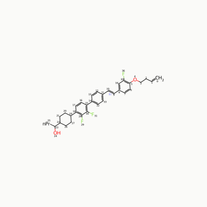 C=CCCOc1ccc(/C=C/c2ccc(-c3ccc(C4CCC(C(O)CCC)CC4)c(F)c3F)cc2)cc1F